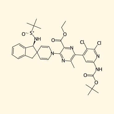 CCOC(=O)c1nc(-c2cc(NC(=O)OC(C)(C)C)nc(Cl)c2Cl)c(C)nc1N1C=CC2(C=C1)Cc1ccccc1[C@H]2N[S@+]([O-])C(C)(C)C